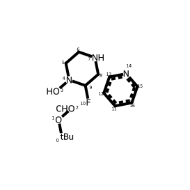 CC(C)(C)OC=O.ON1CCNCC1F.c1ccncc1